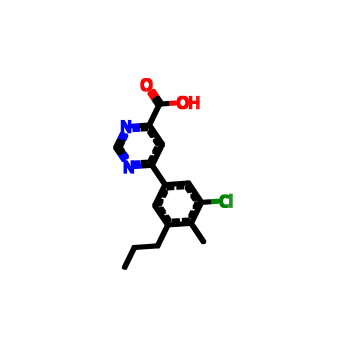 CCCc1cc(-c2cc(C(=O)O)ncn2)cc(Cl)c1C